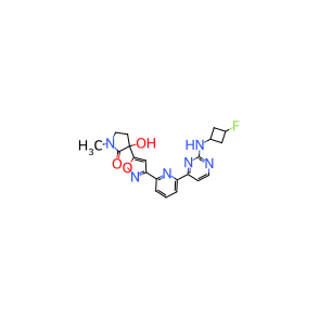 CN1CCC(O)(c2cc(-c3cccc(-c4ccnc(NC5CC(F)C5)n4)n3)no2)C1=O